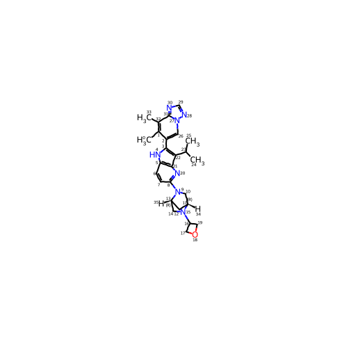 Cc1c(-c2[nH]c3ccc(N4C[C@H]5C[C@@H]4CN5C4COC4)nc3c2C(C)C)cn2ncnc2c1C